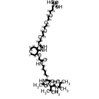 CC(=O)N[C@H](CCCCCNC(=O)COC1CCCCCC2=C1NNN2CCOCCOCCOCCOCCCP(=O)(O)O)C(=O)N[C@H](C(=O)N[C@@H](C)C(C)=O)C(C)C